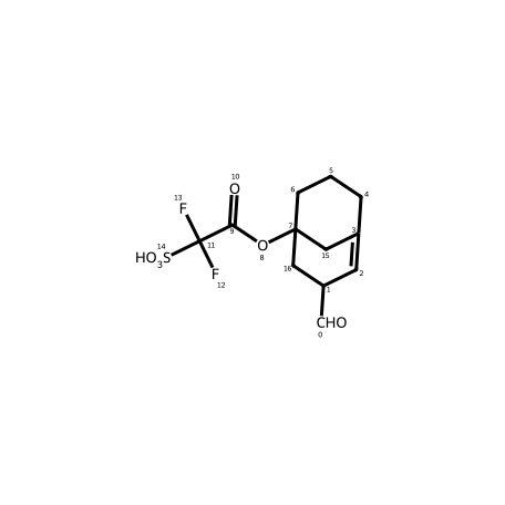 O=CC1C=C2CCCC(OC(=O)C(F)(F)S(=O)(=O)O)(C2)C1